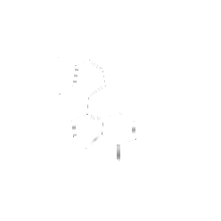 CCOC(=O)c1c[nH]c2c(-c3cccc(Cl)c3Cl)ccnc2c1=O